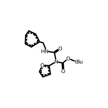 CC(C)(C)OC(=O)N(C(=O)NCc1ccccc1)c1ccco1